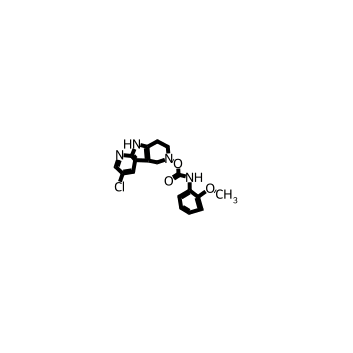 COc1ccccc1NC(=O)ON1CCc2[nH]c3ncc(Cl)cc3c2C1